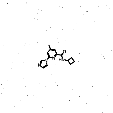 Cc1cc(C(=O)NC2CCC2)nc(-n2ccnc2)c1